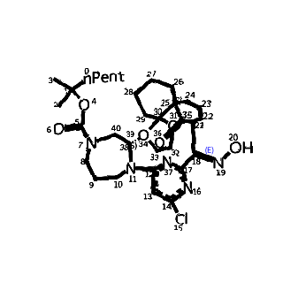 CCCCCC(C)(C)OC(=O)N1CCCN(c2cc(Cl)nc(/C(=N/O)C3CCC[C@@]4(CCCCC45OCCO5)C3=O)n2)[C@@H](C)C1